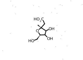 C[C@]1(CC(=O)O)O[C@H](CO)C(O)C1O